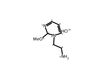 COC1N=CC=CN1CCN.Cl